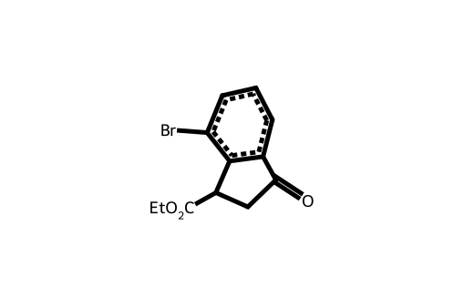 CCOC(=O)C1CC(=O)c2cccc(Br)c21